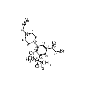 COc1c(N2CCN(CC#N)CC2)cc(C(=O)CBr)cc1C(C)(C)C